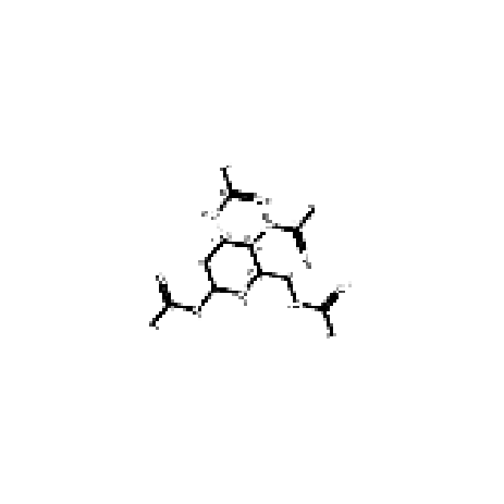 CC(=O)OC[C@H]1OC(OC(C)=O)C[C@H](OC(C)=O)[C@H]1OC(C)=O